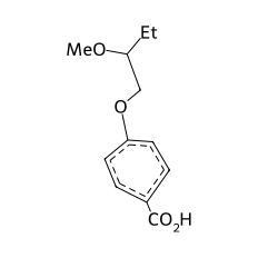 CCC(COc1ccc(C(=O)O)cc1)OC